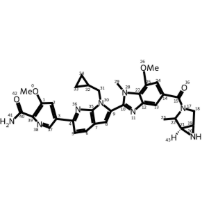 COc1cc(-c2ccc3cc(-c4nc5cc(C(=O)N6CC7N[C@H]7C6C)cc(OC)c5n4C)n(CC4CC4)c3n2)cnc1C(N)=O